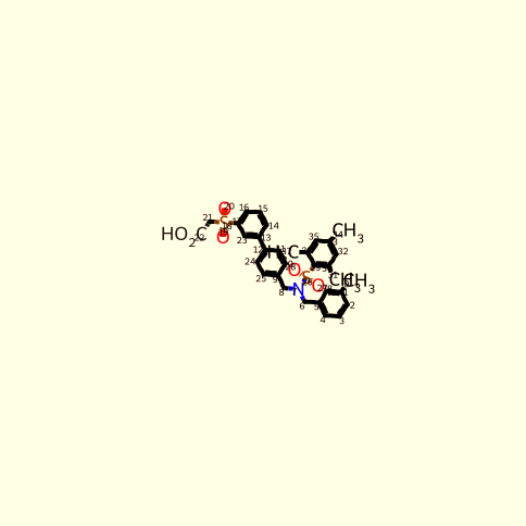 Cc1cccc(CN(Cc2ccc(-c3cccc(S(=O)(=O)CC(=O)O)c3)cc2)S(=O)(=O)c2c(C)cc(C)cc2C)c1